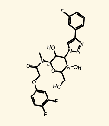 CN(C(=O)COc1ccc(F)c(F)c1)[C@@H]1OC(CO)[C@H](O)C(n2cc(-c3cccc(F)c3)nn2)C1O